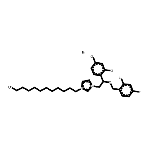 CCCCCCCCCCCCn1cc[n+](CC(OCc2ccc(Cl)cc2Cl)c2ccc(Cl)cc2Cl)c1.[Br-]